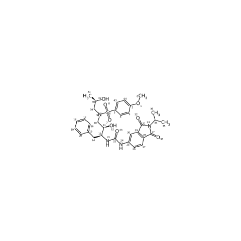 COc1ccc(S(=O)(=O)N(C[C@@H](O)[C@H](Cc2ccccc2)NC(=O)Nc2ccc3c(c2)C(=O)N(C(C)C)C3=O)C[C@@H](C)O)cc1